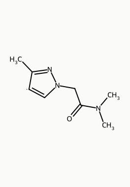 Cc1[c]cn(CC(=O)N(C)C)n1